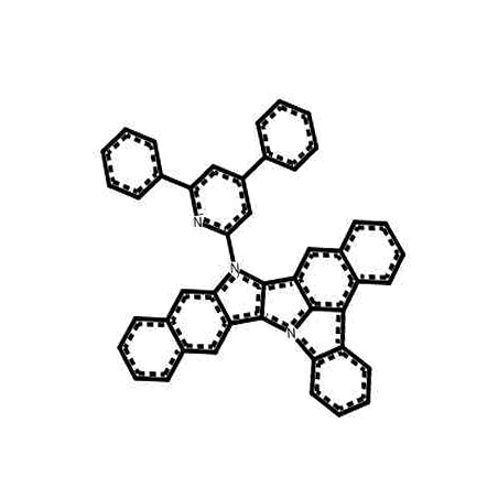 c1ccc(-c2cc(-c3ccccc3)nc(-n3c4cc5ccccc5cc4c4c3c3cc5ccccc5c5c6ccccc6n4c35)c2)cc1